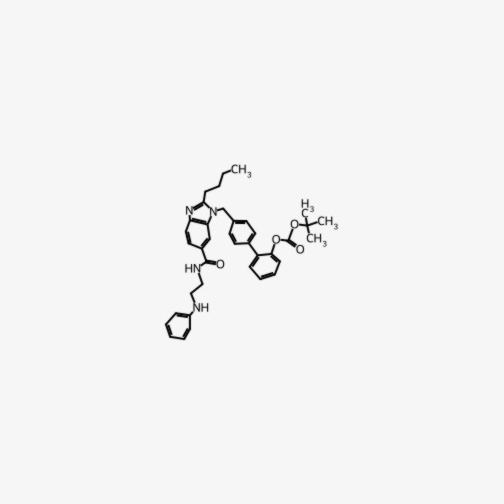 CCCCc1nc2ccc(C(=O)NCCNc3ccccc3)cc2n1Cc1ccc(-c2ccccc2OC(=O)OC(C)(C)C)cc1